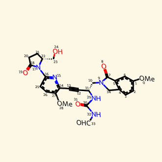 COc1ccc2c(c1)C(=O)N(C[C@@H](C#Cc1nc(N3C(=O)CC[C@@H]3CO)ccc1OC)NC(=O)NC=O)C2